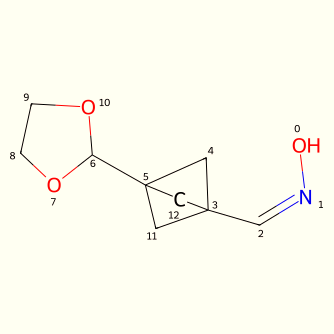 O/N=C\C12CC(C3OCCO3)(C1)C2